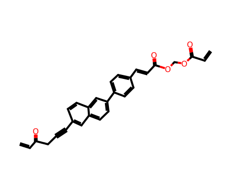 C=CC(=O)CC#Cc1ccc2cc(-c3ccc(/C=C/C(=O)OCOC(=O)C=C)cc3)ccc2c1